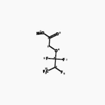 COC(=O)COC(F)(F)C(F)C(F)(F)F